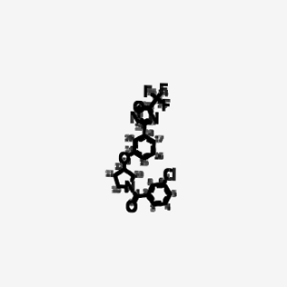 O=C(c1cccc(Cl)c1)N1CCC(Oc2cccc(-c3noc(C(F)(F)F)n3)c2)C1